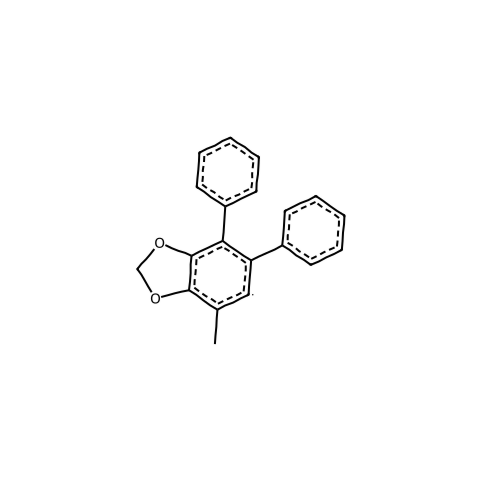 Cc1[c]c(-c2ccccc2)c(-c2ccccc2)c2c1OCO2